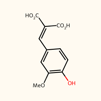 COc1cc(C=C(C(=O)O)C(=O)O)ccc1O